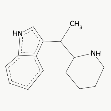 CC(c1c[nH]c2ccccc12)C1CCCCN1